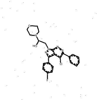 OC(Cn1nc(-c2ccc(F)cc2)c2c(Cl)c(-c3ccccc3)nnc21)N1CCOCC1